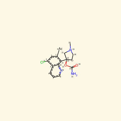 CC(=O)c1cc(Cl)c2cccnc2c1[C@@]1(OC(N)=O)CCN(C)C1